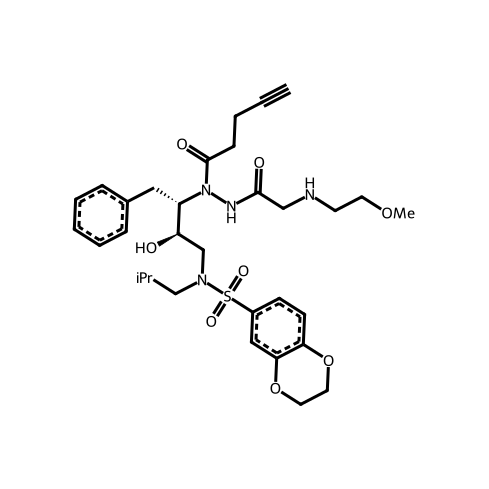 C#CCCC(=O)N(NC(=O)CNCCOC)[C@@H](Cc1ccccc1)[C@H](O)CN(CC(C)C)S(=O)(=O)c1ccc2c(c1)OCCO2